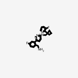 NCc1ccc(F)cc1-c1ccc(NCC2(c3ncccc3F)CCC2)nn1